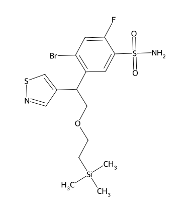 C[Si](C)(C)CCOCC(c1cnsc1)c1cc(S(N)(=O)=O)c(F)cc1Br